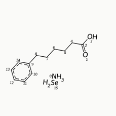 N.O=C(O)CCCCCc1ccccc1.[SeH2]